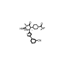 CN(C)C(=O)N1CCC(C2C(=O)N(C)C(=N)N[C@]2(C)c2cc(-c3cccc(C#N)c3)cs2)CC1